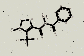 NN(C(=O)C1=C(C(F)(F)F)N(Cl)CS1)C(=O)c1ccccc1